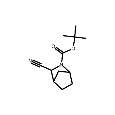 CC(C)(C)OC(=O)N1C2CCC(C2)C1C#N